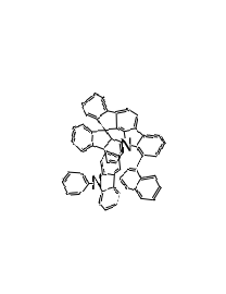 C1=CC2c3ccccc3C3(c4ccccc4-c4ccc5c6cccc(-c7cccc8ccccc78)c6n(-c6ccc7c(c6)c6ccccc6n7-c6ccccc6)c5c43)C2C=C1